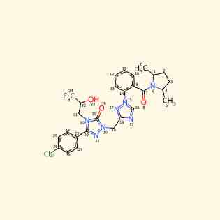 CC1CCC(C)N1C(=O)c1ccccc1-n1cnc(Cn2nc(-c3ccc(Cl)cc3)n(CC(O)C(F)(F)F)c2=O)n1